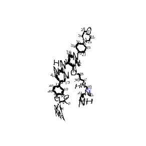 C[C@@H](Cn1cnnn1)Oc1cc(-c2cnc(Nc3cn([C@H]4CC[C@H](N5CCOCC5)CC4)nc3OCCCN/C=N\C=N)nc2)ccc1Cl